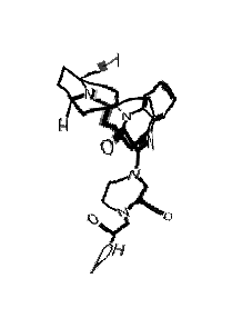 O=C(O)CN1CCN(c2nc3ccccc3n([C@H]3C[C@H]4CC[C@@H](C3)N4C3CCCCCCC3)c2=O)CC1=O